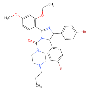 CCCN1CCN(C(=O)N2C(c3ccc(OC)cc3OCC)=NC(c3ccc(Br)cc3)C2c2ccc(Br)cc2)CC1